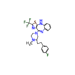 CN1CCN(C2=Nc3ccccc3Nc3sc(C(F)(F)F)nc32)CC1CCc1ccc(F)cc1